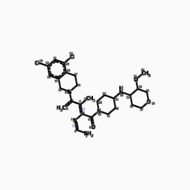 C=C(/C(C)=C(\N=C/N)C(=O)N1CCC(NC2CCOCC2OC)CC1)N1CCc2c(Cl)cc(Cl)cc2C1